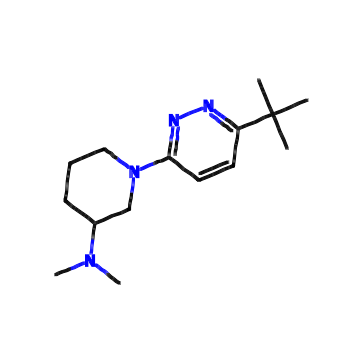 CN(C)C1CCCN(c2ccc(C(C)(C)C)nn2)C1